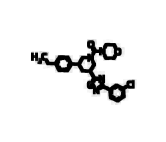 CCc1ccc(C2CC(c3nc(-c4cccc(Cl)c4)no3)CN(C(=O)N3CCOCC3)C2)cc1